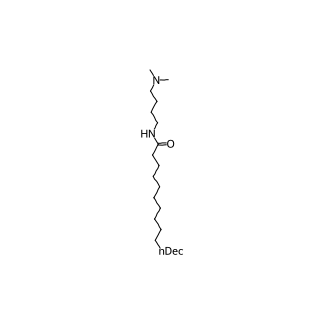 CCCCCCCCCCCCCCCCCCCC(=O)NCCCCN(C)C